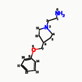 NCCN1CCC(COc2ccccc2)CC1